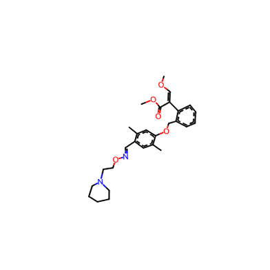 CO/C=C(\C(=O)OC)c1ccccc1COc1cc(C)c(/C=N/OCCN2CCCCC2)cc1C